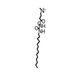 CCCCCCCCCCCCCCNC(=O)NOC(=O)CCC[N+](C)(C)C